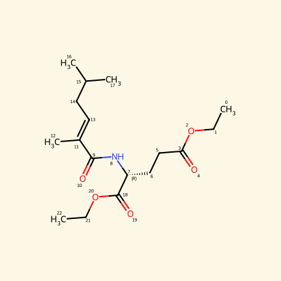 CCOC(=O)CC[C@@H](NC(=O)C(C)=CCC(C)C)C(=O)OCC